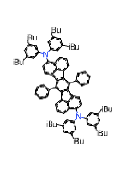 CCC(C)c1cc(C(C)CC)cc(N(c2cc(C(C)CC)cc(C(C)CC)c2)c2ccc3c4c(-c5ccccc5)c5c6cccc7c(N(c8cc(C(C)CC)cc(C(C)CC)c8)c8cc(C(C)CC)cc(C(C)CC)c8)ccc(c5c(-c5ccccc5)c4c4cccc2c43)c76)c1